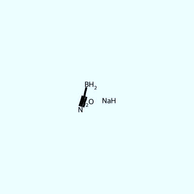 BC#N.O.[NaH]